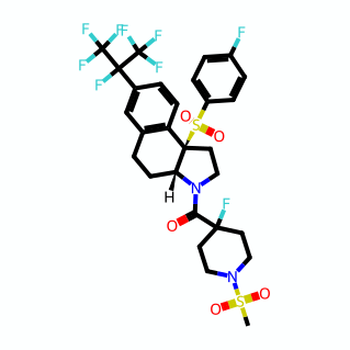 CS(=O)(=O)N1CCC(F)(C(=O)N2CC[C@@]3(S(=O)(=O)c4ccc(F)cc4)c4ccc(C(F)(C(F)(F)F)C(F)(F)F)cc4CC[C@@H]23)CC1